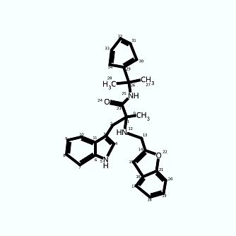 CC(Cc1c[nH]c2ccccc12)(NCc1cc2ccccc2o1)C(=O)NC(C)(C)c1ccccc1